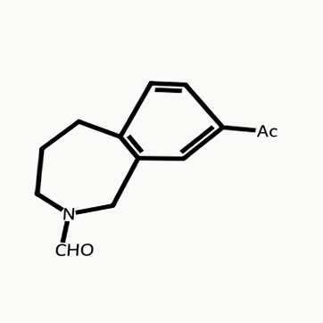 CC(=O)c1ccc2c(c1)CN(C=O)CCC2